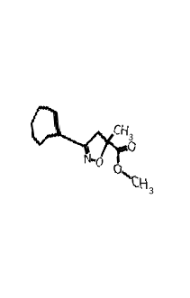 COC(=O)C1(C)CC(C2CCCCC2)=NO1